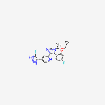 Cn1cnc(-c2cc(-c3nn[nH]c3F)ccn2)c1-c1ccc(F)cc1OCC1CC1